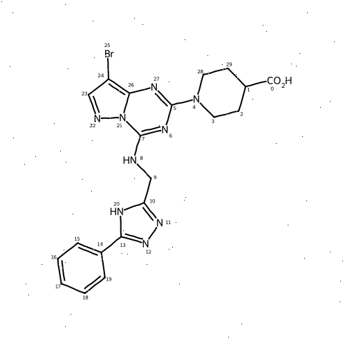 O=C(O)C1CCN(c2nc(NCc3nnc(-c4ccccc4)[nH]3)n3ncc(Br)c3n2)CC1